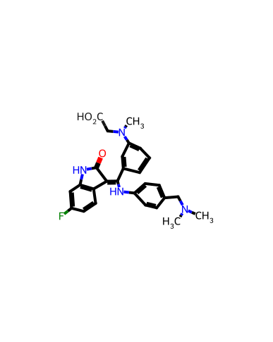 CN(C)Cc1ccc(NC(=C2C(=O)Nc3cc(F)ccc32)c2cccc(N(C)CC(=O)O)c2)cc1